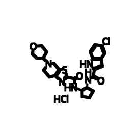 Cl.O=C(N[C@@H]1CCC[C@H]1NC(=O)c1nc2c(s1)CN(C1CCOCC1)CC2)c1cc2cc(Cl)ccc2[nH]1